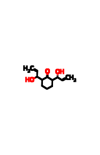 C=CC(O)C1CCCC(C(O)C=C)C1=O